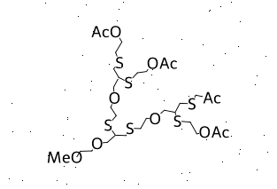 COCCOCC(CSCCOCC(CSCC(C)=O)SCCOC(C)=O)SCCOCC(CSCCOC(C)=O)SCCOC(C)=O